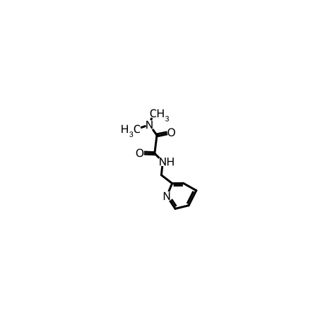 CN(C)C(=O)C(=O)NCc1ccccn1